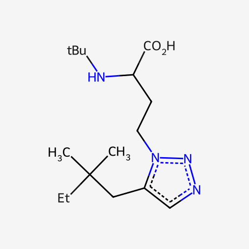 CCC(C)(C)Cc1cnnn1CCC(NC(C)(C)C)C(=O)O